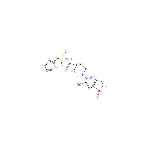 N#Cc1cc2c(nc1N1CCC(F)(C(=O)NS(=O)(=O)Cc3ccccc3)CC1)COC2=O